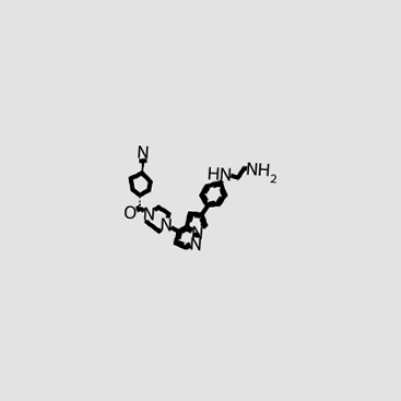 N#C[C@H]1CC[C@H](C(=O)N2CCN(c3ccnn4cc(-c5ccc(NCCN)cc5)cc34)CC2)CC1